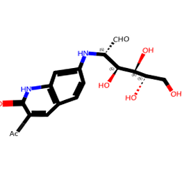 CC(=O)c1cc2ccc(N[C@H](C=O)[C@H](O)[C@@H](O)[C@@H](O)CO)cc2[nH]c1=O